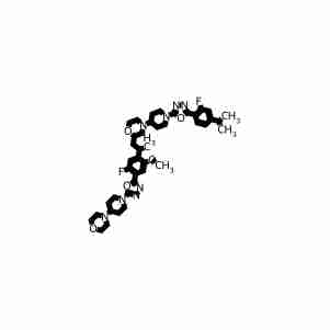 COc1cc(-c2nnc(N3CCC(N4CCOCC4)CC3)o2)c(F)cc1C(C)CC1CN(C2CCN(c3nnc(-c4ccc(C(C)C)cc4F)o3)CC2)CCO1